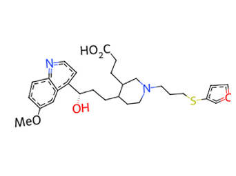 COc1ccc2nccc([C@@H](O)CCC3CCN(CCCSc4ccoc4)CC3CCC(=O)O)c2c1